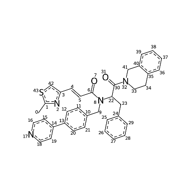 Cc1nc(C=CC(=O)N(Cc2ccc(-c3ccncc3)cc2)C(Cc2ccccc2)C(=O)N2CCc3ccccc3C2)cs1